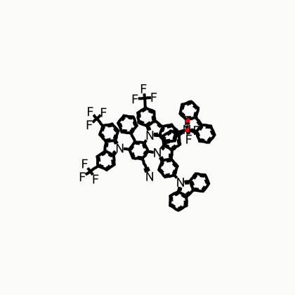 N#Cc1cc(-n2c3ccc(C(F)(F)F)cc3c3cc(C(F)(F)F)ccc32)c(-c2ccccc2)c(-n2c3ccc(C(F)(F)F)cc3c3cc(C(F)(F)F)ccc32)c1-n1c2ccc(-n3c4ccccc4c4ccccc43)cc2c2cc(-n3c4ccccc4c4ccccc43)ccc21